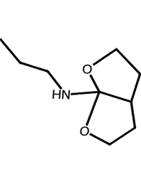 CCCNC12OCCC1CCO2